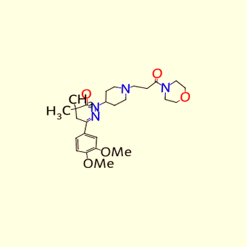 COc1ccc(C2=NN(C3CCN(CCC(=O)N4CCOCC4)CC3)C(=O)C(C)(C)C2)cc1OC